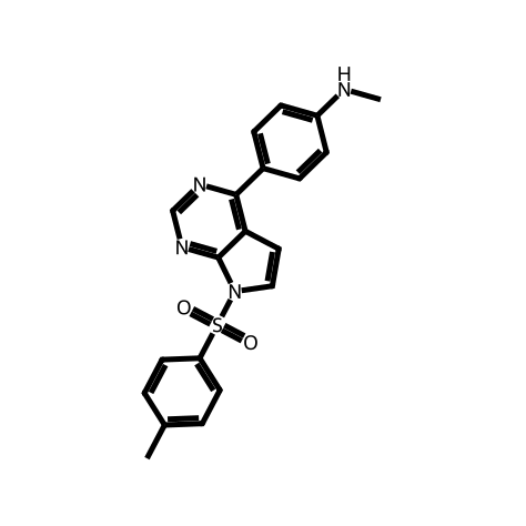 CNc1ccc(-c2ncnc3c2ccn3S(=O)(=O)c2ccc(C)cc2)cc1